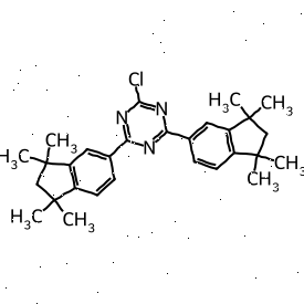 CC1(C)CC(C)(C)c2cc(-c3nc(Cl)nc(-c4ccc5c(c4)C(C)(C)CC5(C)C)n3)ccc21